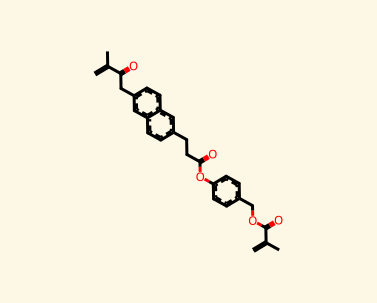 C=C(C)C(=O)Cc1ccc2cc(CCC(=O)Oc3ccc(COC(=O)C(=C)C)cc3)ccc2c1